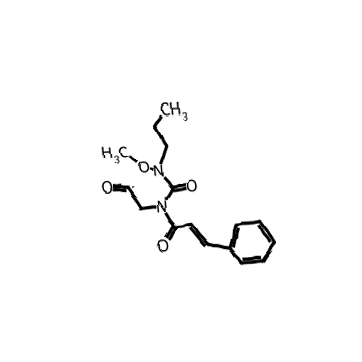 CCCN(OC)C(=O)N(C[C]=O)C(=O)/C=C/c1ccccc1